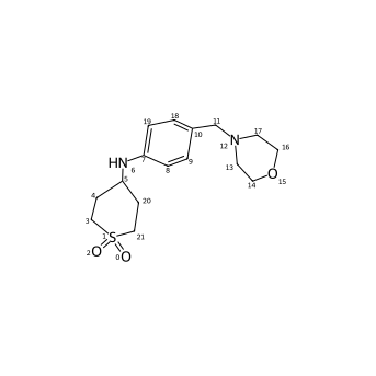 O=S1(=O)CCC(Nc2ccc(CN3CCOCC3)cc2)CC1